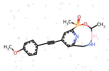 COc1ccc(C#Cc2cc3nc(c2)P(C)(=O)OC(C)BNC3)cc1